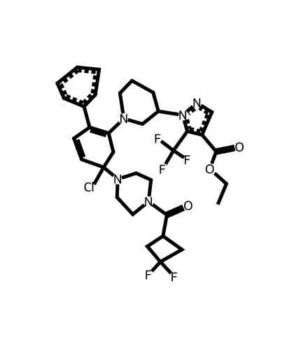 CCOC(=O)c1cnn(C2CCCN(C3=C(c4ccccc4)C=CC(Cl)(N4CCN(C(=O)C5CC(F)(F)C5)CC4)C3)C2)c1C(F)(F)F